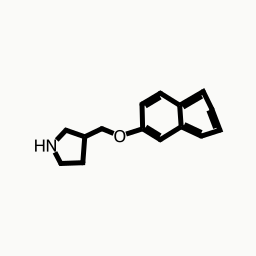 c1ccc2cc(OCC3CCNC3)ccc2c1